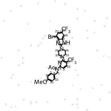 COc1ccc(CN(C(C)=O)c2ccc(C(F)(F)F)c(N3CCN(c4nc5c(Br)cc(C(F)(F)F)cc5[nH]4)CC3)n2)cc1